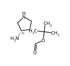 CC(C)(C)OC=O.N[C@H]1CCNC1